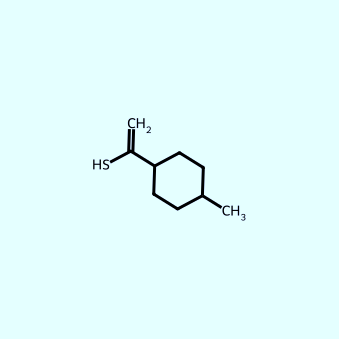 C=C(S)C1CCC(C)CC1